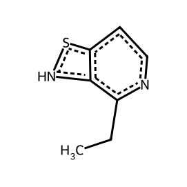 CCc1nccc2s[nH]c12